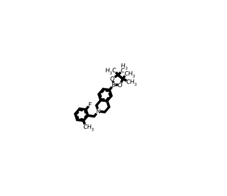 Cc1cccc(F)c1CN1CCc2cc(B3OC(C)(C)C(C)(C)O3)ccc2C1